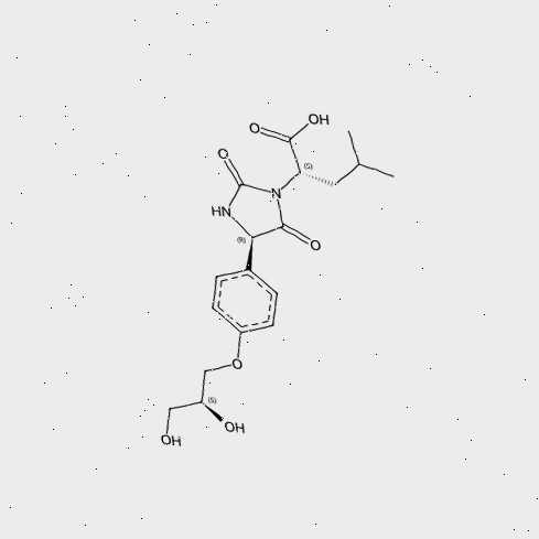 CC(C)C[C@@H](C(=O)O)N1C(=O)N[C@H](c2ccc(OC[C@@H](O)CO)cc2)C1=O